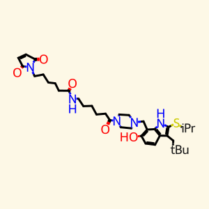 CC(C)Sc1[nH]c2c(CN3CCN(C(=O)CCCCCNC(=O)CCCCCN4C(=O)C=CC4=O)CC3)c(O)ccc2c1CC(C)(C)C